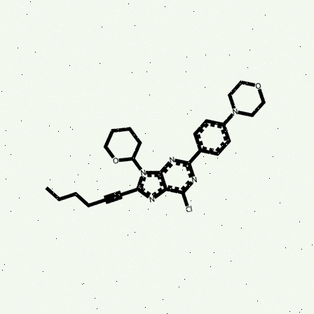 CCCCC#Cc1nc2c(Cl)nc(-c3ccc(N4CCOCC4)cc3)nc2n1C1CCCCO1